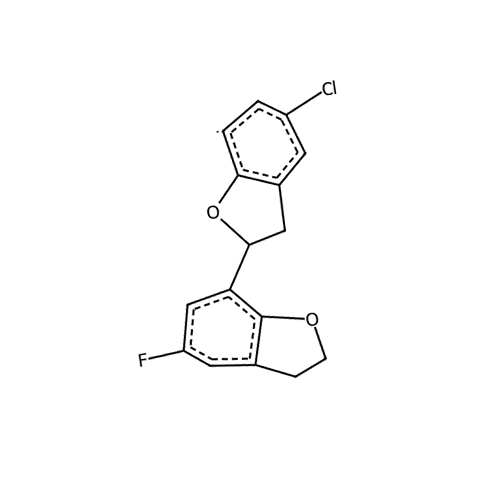 Fc1cc2c(c(C3Cc4cc(Cl)c[c]c4O3)c1)OCC2